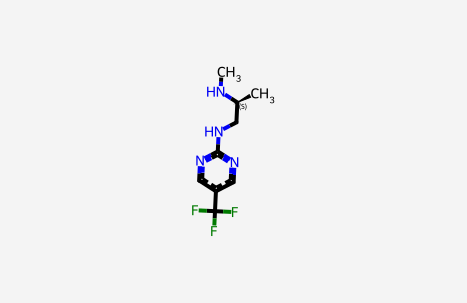 CN[C@@H](C)CNc1ncc(C(F)(F)F)cn1